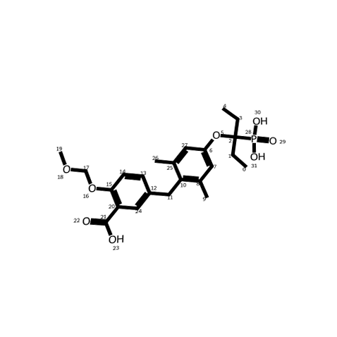 CCC(CC)(Oc1cc(C)c(Cc2ccc(OCOC)c(C(=O)O)c2)c(C)c1)P(=O)(O)O